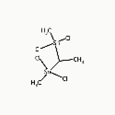 C[CH]([Sn]([CH3])([Cl])[Cl])[Sn]([CH3])([Cl])[Cl]